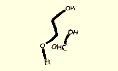 CCOCCO.O=CO